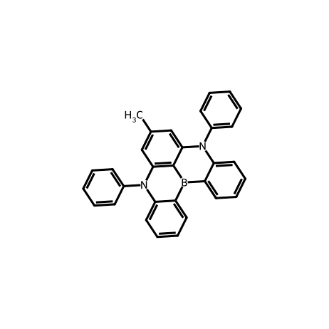 Cc1cc2c3c(c1)N(c1ccccc1)c1ccccc1B3c1ccccc1N2c1ccccc1